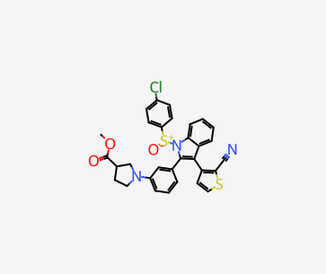 COC(=O)C1CCN(c2cccc(-c3c(-c4ccsc4C#N)c4ccccc4n3[S+]([O-])c3ccc(Cl)cc3)c2)C1